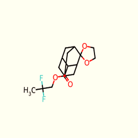 CC(F)(F)COC(=O)C1C2CC3CC(C2)C2(OCCO2)C1C3